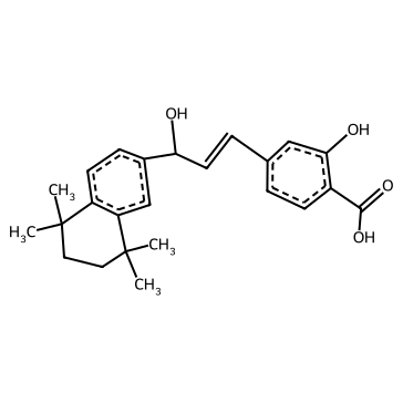 CC1(C)CCC(C)(C)c2cc(C(O)C=Cc3ccc(C(=O)O)c(O)c3)ccc21